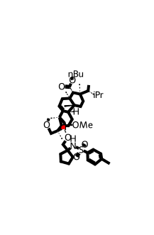 CCCCOC(=O)[C@@H]1[C@@](C)([C@H](C)C(C)C)CC[C@]2(C)[C@H]3CC[C@@H]4[C@@]5(COC[C@]4(C)[C@@H](OCC4(NS(=O)(=O)c6ccc(C)cc6)CCCC4)[C@H](OC)C5)C3=CC[C@@]12C